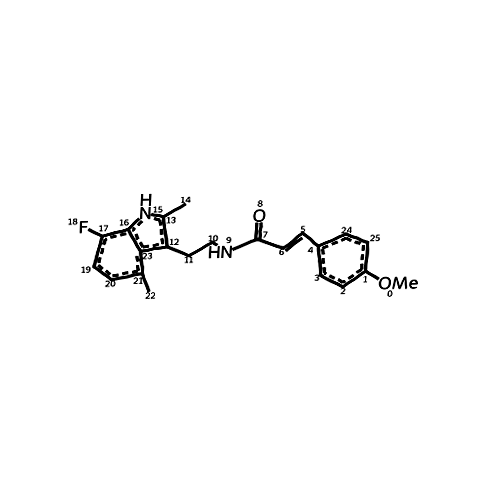 COc1ccc(C=CC(=O)NCCc2c(C)[nH]c3c(F)ccc(C)c23)cc1